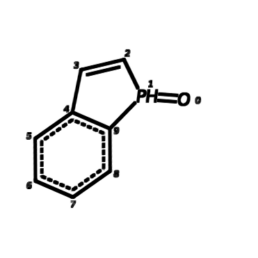 O=[PH]1C=Cc2ccccc21